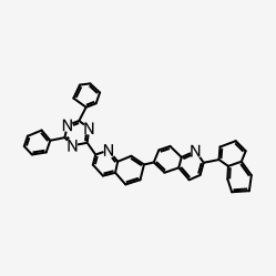 c1ccc(-c2nc(-c3ccccc3)nc(-c3ccc4ccc(-c5ccc6nc(-c7cccc8ccccc78)ccc6c5)cc4n3)n2)cc1